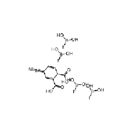 OB(O)F.OB(O)F.OB(O)F.OB(O)F.[N-]=[N+]=C1C=CC(C(=O)O)C(C(=O)O)=C1